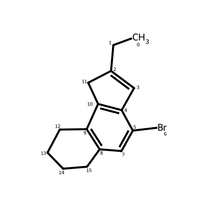 CCC1=Cc2c(Br)cc3c(c2C1)CCCC3